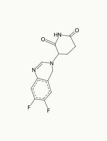 O=C1CCC(N2C=Nc3cc(F)c(F)cc3C2)C(=O)N1